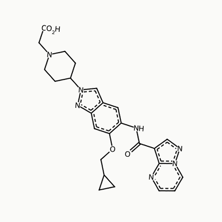 O=C(O)CN1CCC(n2cc3cc(NC(=O)c4cnn5cccnc45)c(OCC4CC4)cc3n2)CC1